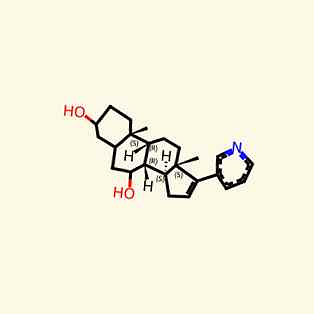 C[C@]12CCC(O)CC1CC(O)[C@@H]1[C@H]2CC[C@]2(C)C(c3cccnc3)=CC[C@@H]12